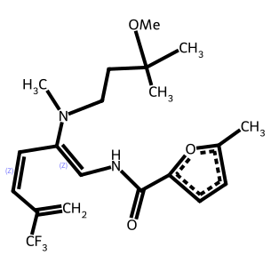 C=C(/C=C\C(=C\NC(=O)c1ccc(C)o1)N(C)CCC(C)(C)OC)C(F)(F)F